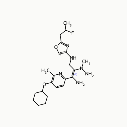 Cc1nc(/C(N)=C(\CNc2noc(CC(C)F)n2)N(C)N)ccc1OC1CCCCC1